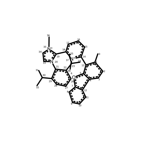 Cc1ccc2c(oc3ccccc32)c1-c1cccc(-c2n(-c3c(C(C)C)cccc3C(C)C)cc[n+]2C)[n+]1C